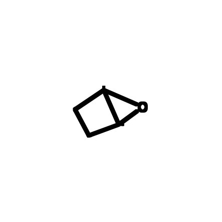 C1C[C]2O[C]12